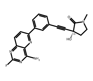 CN1CC[C@@](O)(C#Cc2cccc(-c3ccc4nc(F)nc(N)c4n3)c2)C1=O